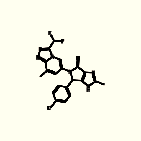 Cc1nc2c([nH]1)C(c1ccc(Cl)cc1)N(c1cc(C)c3nnc(C(F)F)n3c1)C2=O